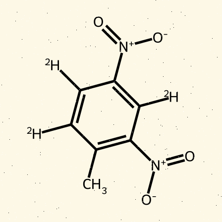 [2H]c1c([2H])c([N+](=O)[O-])c([2H])c([N+](=O)[O-])c1C